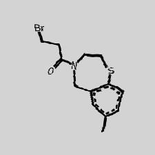 Cc1ccc2c(c1)CN(C(=O)CCBr)CCS2